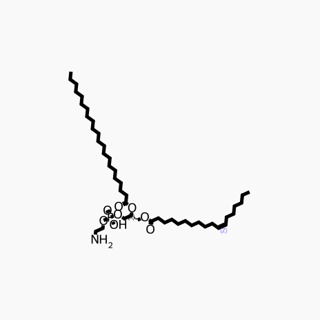 CCCCCC/C=C\CCCCCCCCCC(=O)OC[C@H](COP(=O)(O)OCCN)OC(=O)CCCCCCCCCCCCCCCCCCCCC